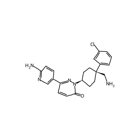 NC[C@]1(c2cccc(Cl)c2)CC[C@H](n2nc(-c3ccc(N)nc3)ccc2=O)CC1